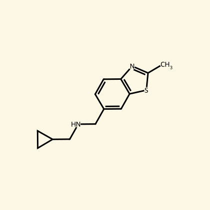 Cc1nc2ccc(CNCC3CC3)cc2s1